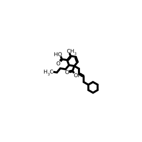 CCCCC1C(C(=O)O)=C(C)C=CC1(CC=CCC1CCCCC1)C(=O)O